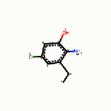 CCc1cc(Cl)cc(O)c1N